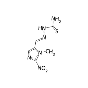 Cn1c(C=NNC(N)=S)cnc1[N+](=O)[O-]